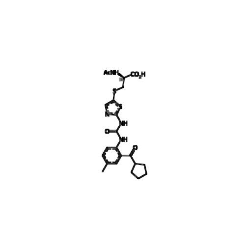 CC(=O)N[C@H](CSc1cnc(NC(=O)Nc2ccc(C)cc2C(=O)C2CCCC2)s1)C(=O)O